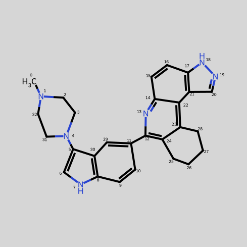 CN1CCN(c2c[nH]c3ccc(-c4nc5ccc6[nH]ncc6c5c5c4CCCC5)cc23)CC1